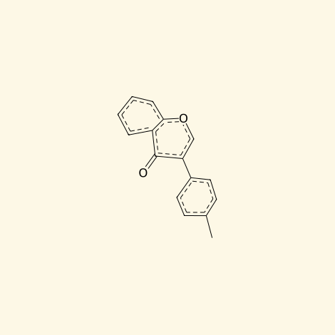 Cc1ccc(-c2coc3ccccc3c2=O)cc1